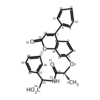 C[C@H](Oc1ccc2c(-c3ccccc3)cc(=O)oc2c1)C(=O)NC(C(=O)O)c1ccccc1